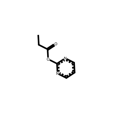 CCC(=O)Oc1ncccn1